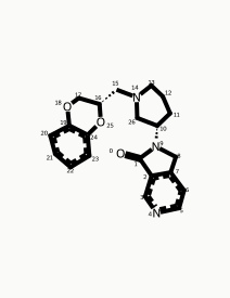 O=C1c2cnccc2CN1[C@H]1CCCN(C[C@H]2COc3ccccc3O2)C1